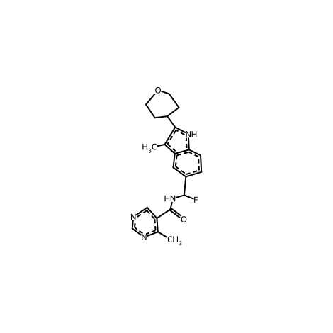 Cc1ncncc1C(=O)NC(F)c1ccc2[nH]c(C3CCOCC3)c(C)c2c1